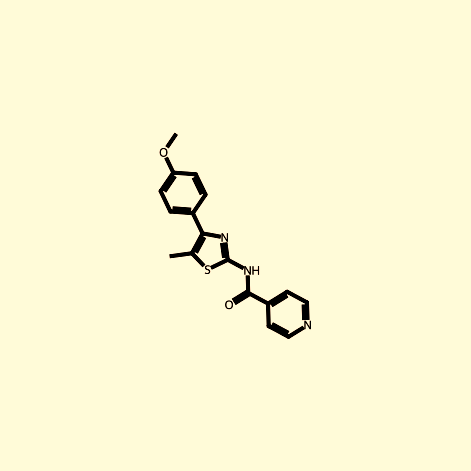 COc1ccc(-c2nc(NC(=O)c3ccncc3)sc2C)cc1